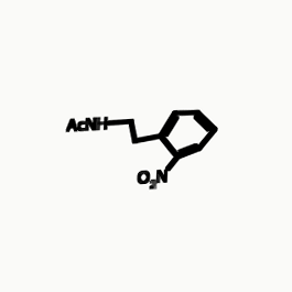 CC(=O)NCCc1ccccc1[N+](=O)[O-]